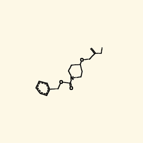 C=C(CC)COC1CCN(C(=O)OCc2ccccc2)CC1